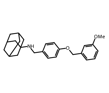 COc1cccc(COc2ccc(CNC34CC5CC(CC(C5)C3)C4)cc2)c1